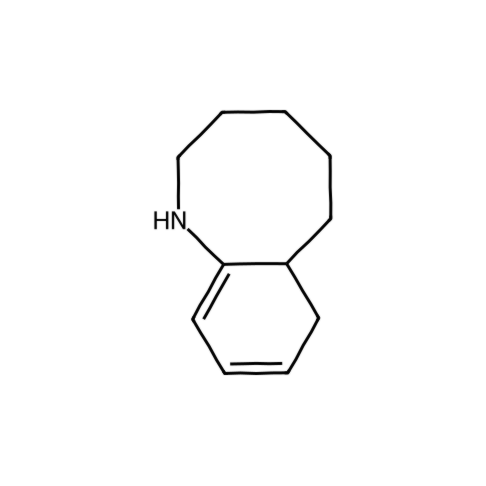 C1=CCC2CCCCCNC2=C1